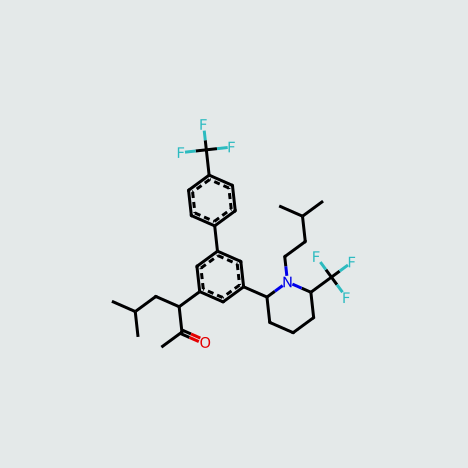 CC(=O)C(CC(C)C)c1cc(-c2ccc(C(F)(F)F)cc2)cc(C2CCCC(C(F)(F)F)N2CCC(C)C)c1